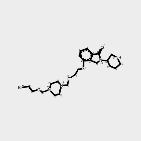 O=C1c2cccc(SCCOCN3CCN(COCCBr)CC3)c2CN1C1CCCNC1